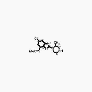 COCc1cc(Cl)cc2nc(N3CCNCC3C)oc12